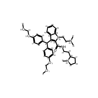 COCOc1ccc(C(c2ccc(OCOC)cc2)c2c(C(=O)NCCC3CCCN3C)n(CCN(C)C)c3ccccc23)cc1